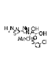 COC1C(n2cc(-c3csc(N)n3)nn2)[C@@H](O)C(CO)O[C@@H]1Sc1cccc(Cl)c1